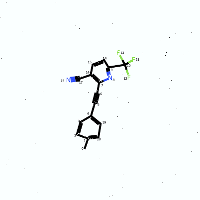 Cc1ccc(C#Cc2nc(C(F)(F)F)ccc2C#N)cc1